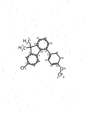 CC1(C)c2cc(Cl)ccc2-c2c(C3=CC=C(OC(F)(F)F)CC3)cccc21